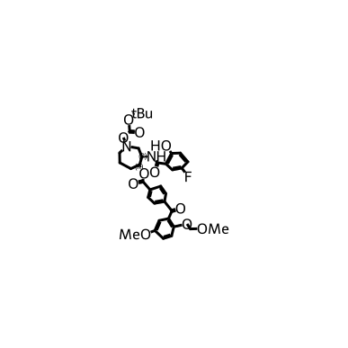 COCOc1ccc(OC)cc1C(=O)c1ccc(C(=O)O[C@@H]2CCCN(OC(=O)OC(C)(C)C)C[C@H]2NC(=O)c2cc(F)ccc2O)cc1